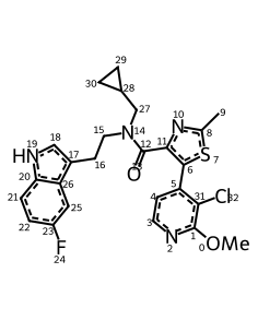 COc1nccc(-c2sc(C)nc2C(=O)N(CCc2c[nH]c3ccc(F)cc23)CC2CC2)c1Cl